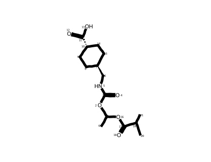 CC(OC(=O)NC[C@H]1CC[C@H](C(=O)O)CC1)OC(=O)C(C)C